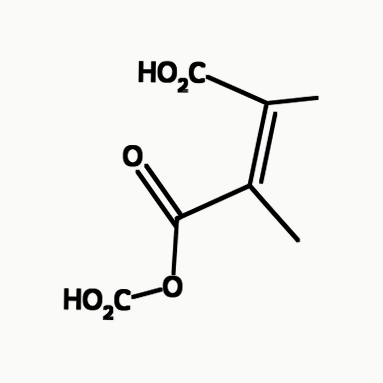 C/C(C(=O)O)=C(\C)C(=O)OC(=O)O